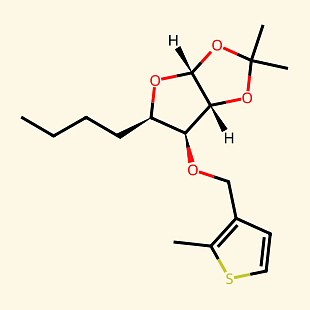 CCCC[C@H]1O[C@@H]2OC(C)(C)O[C@@H]2[C@H]1OCc1ccsc1C